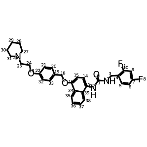 O=C(NCc1ccc(F)cc1F)Nc1ccc(OCc2ccc(OCCN3CCCCC3)cc2)c2ccccc12